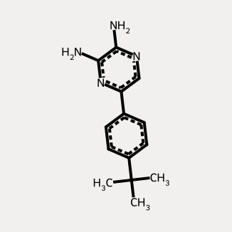 CC(C)(C)c1ccc(-c2cnc(N)c(N)n2)cc1